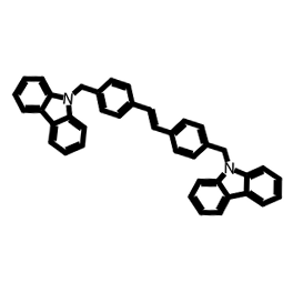 C(=Cc1ccc(Cn2c3ccccc3c3ccccc32)cc1)c1ccc(Cn2c3ccccc3c3ccccc32)cc1